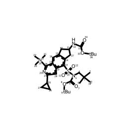 CC(C)(F)CN(C(=O)OC(C)(C)C)S(=O)(=O)c1c2c(cc3c([N+](C)(C)C)nc(C4CC4)cc13)CC(NC(=O)OC(C)(C)C)C2